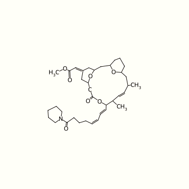 COC(=O)/C=C1\CC2CC(=O)OC(/C=C/C=C\CCCC(=O)N3CCCCC3)C(C)/C=C/C(C)CC3CCCC(CC(C1)O2)O3